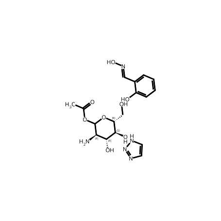 CC(=O)OC1O[C@H](CO)[C@@H](O)[C@H](O)[C@H]1N.ON=Cc1ccccc1O.c1c[nH]nn1